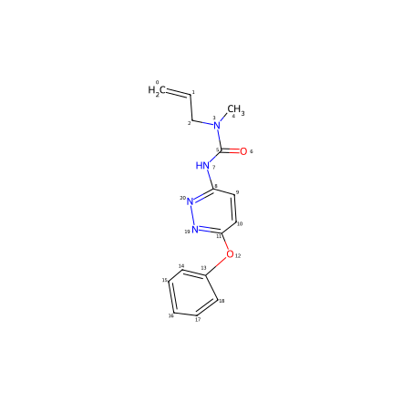 C=CCN(C)C(=O)Nc1ccc(Oc2ccccc2)nn1